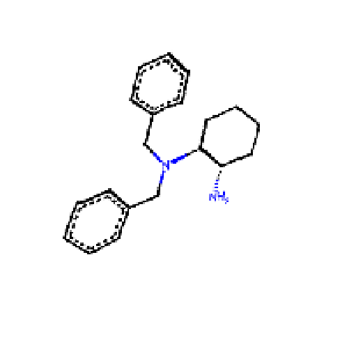 N[C@H]1CCCC[C@@H]1N(Cc1ccccc1)Cc1ccccc1